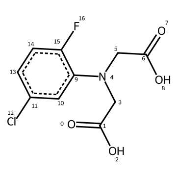 O=C(O)CN(CC(=O)O)c1cc(Cl)ccc1F